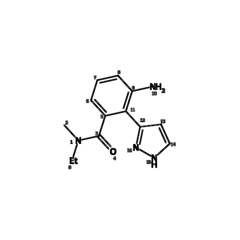 CCN(C)C(=O)c1cccc(N)c1-c1cc[nH]n1